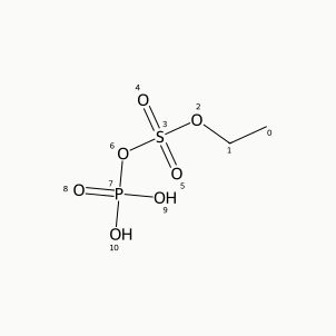 CCOS(=O)(=O)OP(=O)(O)O